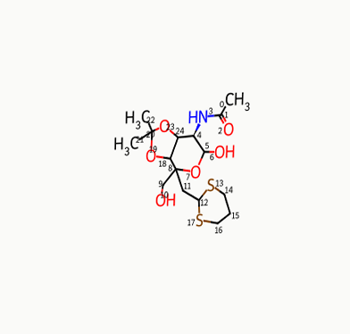 CC(=O)N[C@H]1C(O)OC(CO)(CC2SCCCS2)C2OC(C)(C)OC21